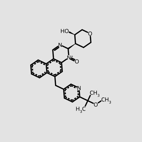 COC(C)(C)c1ccc(Cc2cc3c(c4ccccc24)C=NC([C@@H]2CCOC[C@@H]2O)[N+]3=O)cn1